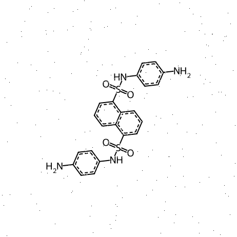 Nc1ccc(NS(=O)(=O)c2cccc3c(S(=O)(=O)Nc4ccc(N)cc4)cccc23)cc1